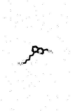 C=Cc1ccc2c(CCCCCC)cccc2c1